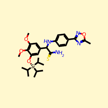 COc1cc(C(Nc2ccc(-c3noc(C)n3)cc2)C(N)=S)cc(O[Si](C(C)C)(C(C)C)C(C)C)c1OC